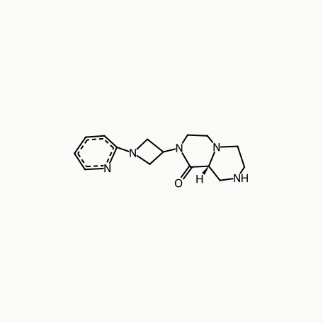 O=C1[C@H]2CNCCN2CCN1C1CN(c2ccccn2)C1